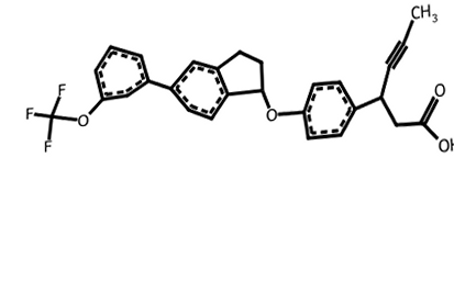 CC#CC(CC(=O)O)c1ccc(OC2CCc3cc(-c4cccc(OC(F)(F)F)c4)ccc32)cc1